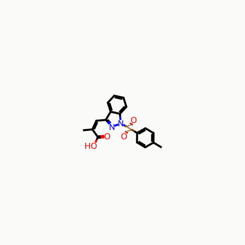 CC(=Cc1nn(S(=O)(=O)c2ccc(C)cc2)c2ccccc12)C(=O)O